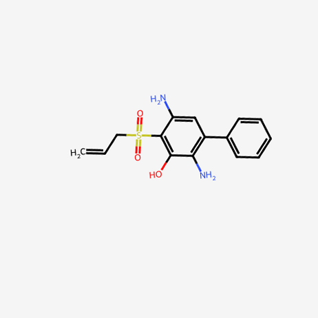 C=CCS(=O)(=O)c1c(N)cc(-c2ccccc2)c(N)c1O